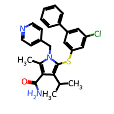 Cc1c(C(N)=O)c(C(C)C)c(Sc2cc(Cl)cc(-c3ccccc3)c2)n1Cc1ccncc1